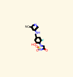 N#Cc1cncc(NCc2cc(O)c(N3CC(=O)NS3(=O)=O)c(F)c2)c1